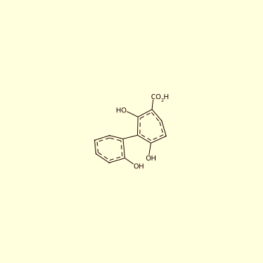 O=C(O)c1ccc(O)c(-c2ccccc2O)c1O